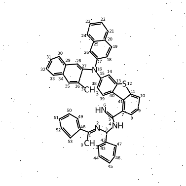 C/C(=N\C(NC(=N)c1cccc2sc3cc(N(c4ccc5ccccc5c4)c4cc5ccccc5cc4C)ccc3c12)c1ccccc1)c1ccccc1